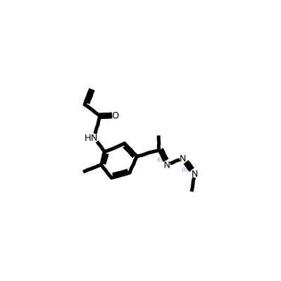 C=CC(=O)Nc1cc(/C(C)=N/N=N\C)ccc1C